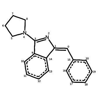 C(=C1\N=C(N2CCCC2)c2ccccc21)/c1ccccc1